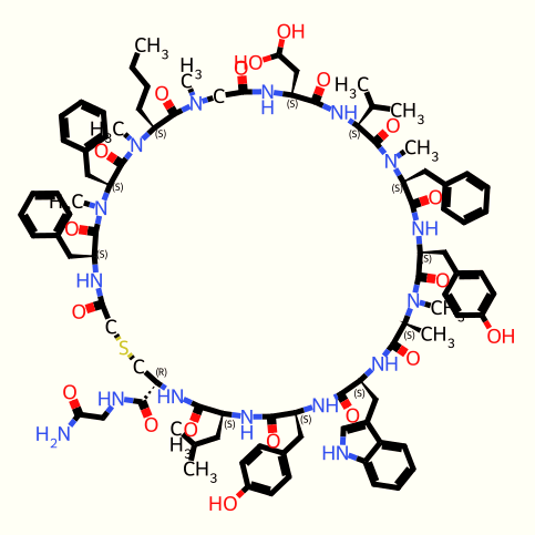 CCCC[C@H]1C(=O)N(C)CC(=O)N[C@@H](CC(O)O)C(=O)N[C@@H](C(C)C)C(=O)N(C)[C@@H](Cc2ccccc2)C(=O)N[C@@H](Cc2ccc(O)cc2)C(=O)N(C)[C@@H](C)C(=O)N[C@@H](Cc2c[nH]c3ccccc23)C(=O)N[C@@H](Cc2ccc(O)cc2)C(=O)N[C@@H](CC(C)C)C(=O)N[C@H](C(=O)NCC(N)=O)CSCC(=O)N[C@@H](Cc2ccccc2)C(=O)N(C)[C@@H](Cc2ccccc2)C(=O)N1C